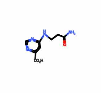 NC(=O)CCNc1cc(C(=O)O)ncn1